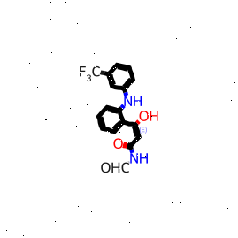 O=CNC(=O)/C=C(/O)c1ccccc1Nc1cccc(C(F)(F)F)c1